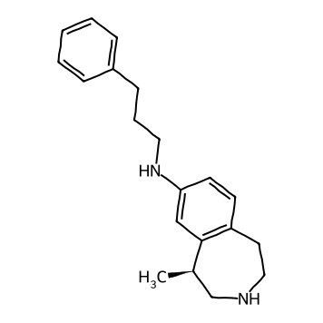 C[C@@H]1CNCCc2ccc(NCCCc3ccccc3)cc21